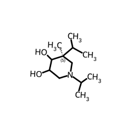 CC(C)N1CC(O)C(O)[C@@](C)(C(C)C)C1